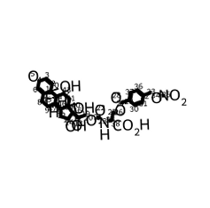 C[C@]12C=CC(=O)C=C1CC[C@H]1[C@@H]3C[C@@H](O)[C@](O)(C(=O)COC(=O)NC(COC(=O)c4ccc(CO[N+](=O)[O-])cc4)C(=O)O)[C@@]3(C)C[C@H](O)[C@@]12F